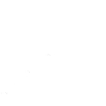 CCCCCCCCCCCCCCCC(=O)NCCOCCNC(=O)CCOCCN